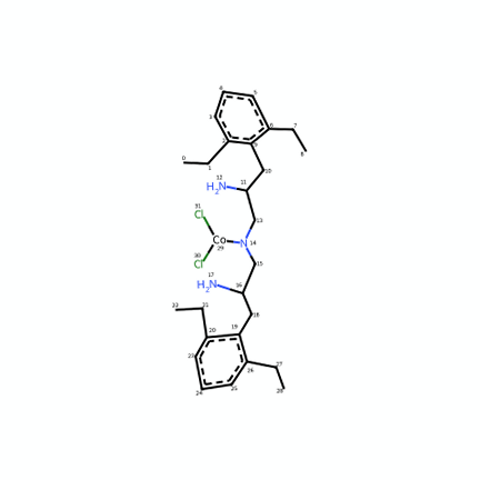 CCc1cccc(CC)c1CC(N)C[N](CC(N)Cc1c(CC)cccc1CC)[Co]([Cl])[Cl]